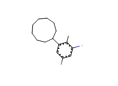 Nc1cc(F)cc(C2CCCCCCCC2)c1[N+](=O)[O-]